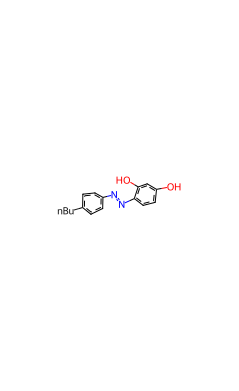 CCCCc1ccc(N=Nc2ccc(O)cc2O)cc1